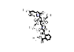 CCOP(=O)(OCC)C(C/C=C(\C)CCC=C(C)C)(C/C=C(\C)CNc1ccccc1C(=O)OC)P(=O)(OCC)OCC